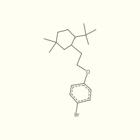 CC1(C)CC[C](C(C)(C)C)C(CCOc2ccc(Br)cc2)C1